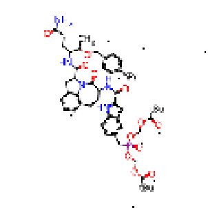 CC(C)c1ccc(CO[C@H](C)[C@H](CCC(N)=O)NC(=O)[C@@H]2Cc3cccc4c3N2C(=O)[C@@H](NC(=O)c2cc3cc(CP(=O)(OCOC(=O)C(C)(C)C)OCOC(=O)C(C)(C)C)ccc3[nH]2)CC4)cc1